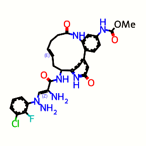 COC(=O)Nc1ccc2c(c1)NC(=O)CC/C=C/CC(NC(=O)/C(N)=C/N(N)c1cccc(Cl)c1F)c1cc-2cc(=O)[nH]1